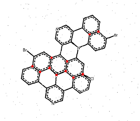 Clc1cc(N(c2ccc(Br)cc2)c2c(-c3ccccc3)cncc2-c2ccccc2)cc(N(c2ccc(Br)cc2)c2c(-c3ccccc3)cncc2-c2ccccc2)c1